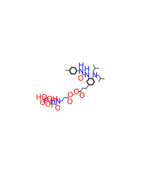 Cc1ccc(NC(=O)Nc2cc(CCC(=O)OCOC(=O)CCNC(=O)C(C)(C)OP(=O)(O)O)ccc2N(CC(C)C)CC(C)C)cc1